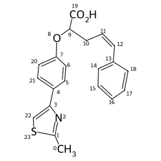 Cc1nc(-c2ccc(OC(C/C=C\c3ccccc3)C(=O)O)cc2)cs1